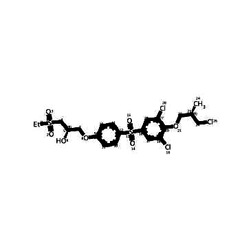 CCS(=O)(=O)C[C@H](O)COc1ccc(S(=O)(=O)c2cc(Cl)c(OC[C@@H](C)CCl)c(Cl)c2)cc1